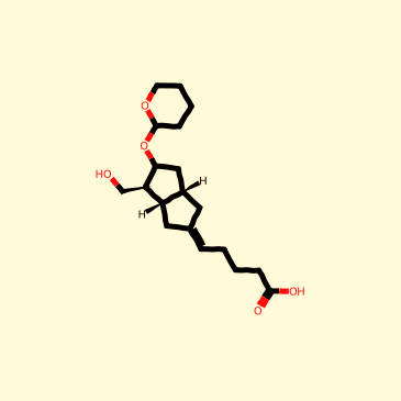 O=C(O)CCC/C=C1\C[C@H]2CC(OC3CCCCO3)[C@H](CO)[C@H]2C1